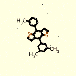 CC1=CC(C)CC(c2c3ccsc3c(-c3cccc(C)c3)c3ccsc23)=C1